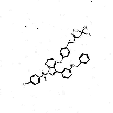 Cc1ccc(S(=O)(=O)n2cc(-c3ccnc(NCc4ccccc4)c3)c3c(Oc4ccc(CNC(=O)OC(C)(C)C)cc4)ccnc32)cc1